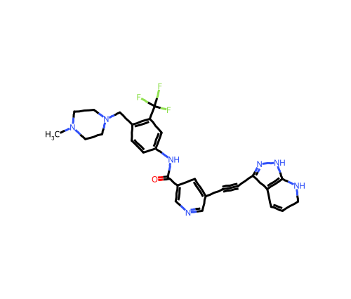 CN1CCN(Cc2ccc(NC(=O)c3cncc(C#Cc4n[nH]c5c4C=CCN5)c3)cc2C(F)(F)F)CC1